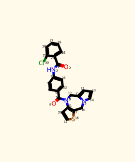 O=C(Nc1ccc(C(=O)N2Cc3cccn3Cc3sccc32)cc1)c1ccccc1Cl